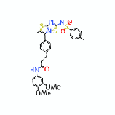 COc1ccc(NC(=O)CCc2ccc(-c3c(C)sc4nc(=NS(=O)(=O)c5ccc(C)cc5)sn34)cc2)cc1OC